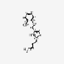 C=CCC[C@@H]1CC[C@H](COc2ccccc2Cl)N1